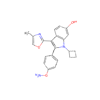 Cc1coc(-c2c(-c3ccc(ON)cc3)n(C3CCC3)c3cc(O)ccc23)n1